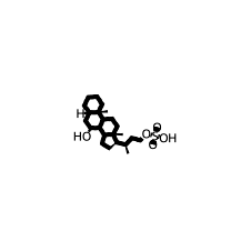 C[C@H](CCOS(=O)(=O)O)[C@H]1CCC2C3C(CC[C@@]21C)[C@@]1(C)CCCC[C@H]1C[C@@H]3O